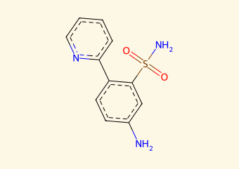 Nc1ccc(-c2ccccn2)c(S(N)(=O)=O)c1